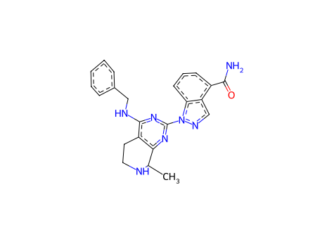 CC1NCCc2c(NCc3ccccc3)nc(-n3ncc4c(C(N)=O)cccc43)nc21